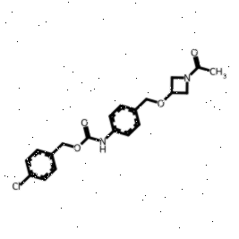 CC(=O)N1CC(OCc2ccc(NC(=O)OCc3ccc(Cl)cc3)cc2)C1